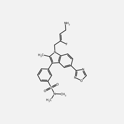 Cc1c(-c2cccc(S(=O)(=O)N(C)C)c2)c2cc(-c3ncon3)ccc2n1C/C(F)=C/CN